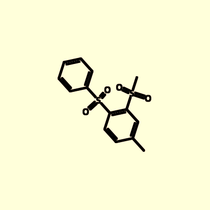 Cc1ccc(S(=O)(=O)c2ccccc2)c(S(C)(=O)=O)c1